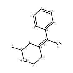 CC1C/C(=C(/C#N)c2ccccc2)CCN1